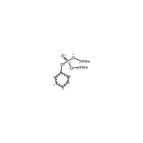 CCCCCCOP(=O)(OCCCCCC)Oc1ccccc1